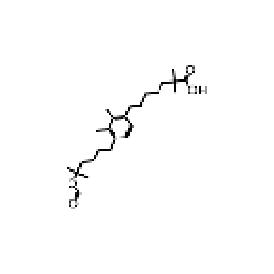 Cc1c(CCCCCC(C)(C)C(=O)O)ccc(CCCCC(C)(C)OC=O)c1C